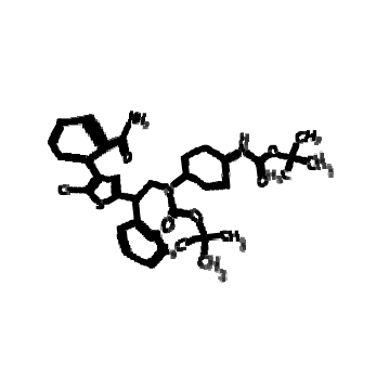 CC(C)(C)OC(=O)NC1CCC(N(CC(c2ccccc2)c2cc(-c3ccccc3C(N)=O)c(Cl)s2)C(=O)OC(C)(C)C)CC1